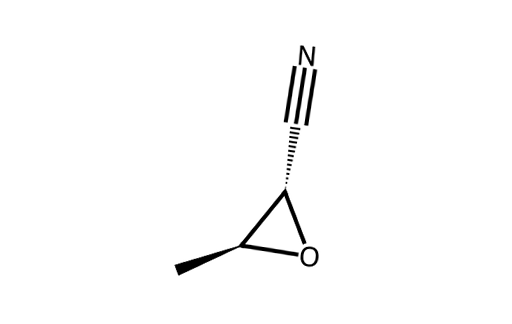 C[C@@H]1O[C@H]1C#N